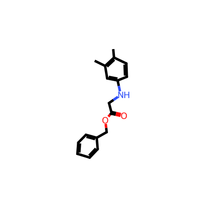 Cc1ccc(NCC(=O)OCc2ccccc2)cc1C